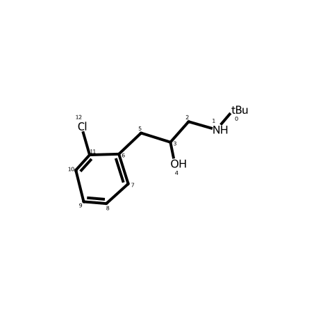 CC(C)(C)NCC(O)Cc1ccccc1Cl